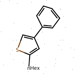 CCCCCCc1cc(-c2ccccc2)cs1